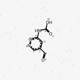 O=Cc1cnnc(NC(=O)O)c1